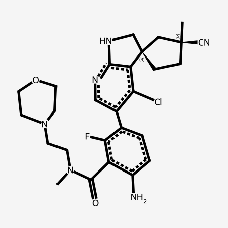 CN(CCN1CCOCC1)C(=O)c1c(N)ccc(-c2cnc3c(c2Cl)[C@]2(CC[C@](C)(C#N)C2)CN3)c1F